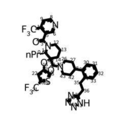 CCC[C@H]1N(C(=O)c2cnccc2C(F)(F)F)CCC[C@]1(Oc1csc(C(F)(F)F)c1)C(=O)N1CCC(c2ccccc2CCc2nnn[nH]2)CC1